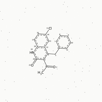 CC(=O)c1c(Cc2ccccc2)c2cc(Cl)ccc2[nH]c1=O